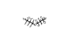 [2H]C(F)(Cl)C(F)(F)C(F)(F)OC(F)(F)C(F)(F)C([2H])(F)Cl